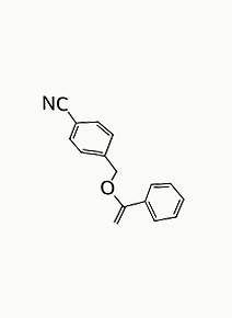 C=C(OCc1ccc(C#N)cc1)c1ccccc1